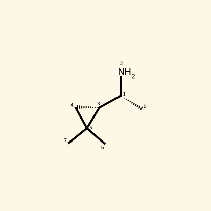 C[C@@H](N)[C@H]1CC1(C)C